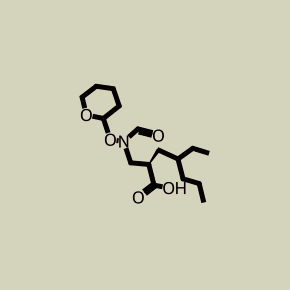 CCCC(CC)C[C@H](CN(C=O)OC1CCCCO1)C(=O)O